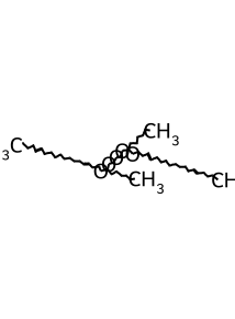 CCCCC=CCCCCCCCCC=CCCOC(CCCCCC)OCOCOC(CCCCCC)OCCC=CCCCCCCCCC=CCCCC